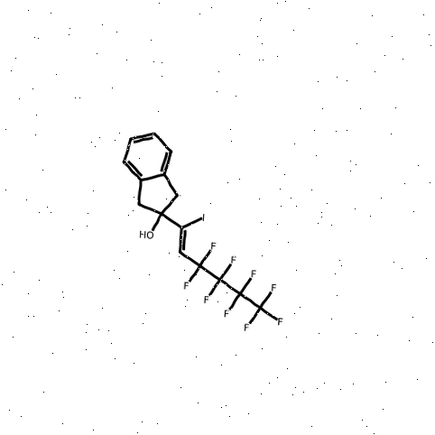 OC1(C(I)=CC(F)(F)C(F)(F)C(F)(F)C(F)(F)F)[CH]c2ccccc2C1